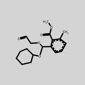 COC(=O)c1c(C)cccc1C(OCC=O)OC1CCCCC1